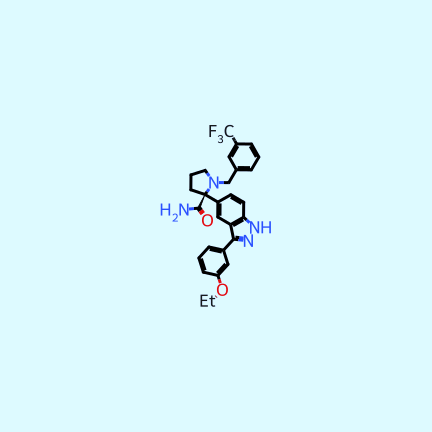 CCOc1cccc(-c2n[nH]c3ccc([C@]4(C(N)=O)CCCN4Cc4cccc(C(F)(F)F)c4)cc23)c1